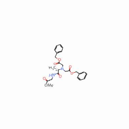 COC(=O)CNC(=O)[C@H](C)N(CC(=O)OCc1ccccc1)CC(=O)OCc1ccccc1